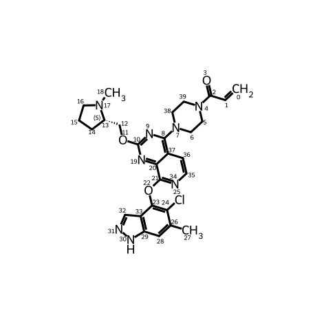 C=CC(=O)N1CCN(c2nc(OC[C@@H]3CCCN3C)nc3c(Oc4c(Cl)c(C)cc5[nH]ncc45)nccc23)CC1